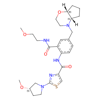 COCCNC(=O)c1cc(CN2CCO[C@@H]3CCC[C@@H]32)ccc1NC(=O)c1csc(N2CC[C@H](OC)C2)n1